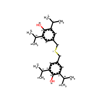 CC(C)c1cc(CSCc2cc(C(C)C)c(O)c(C(C)C)c2)cc(C(C)C)c1O